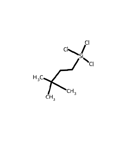 CC(C)(C)CC[Si](Cl)(Cl)Cl